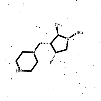 C[C@@H]1[C@@H](CN2CCNCC2)[C@@H](F)CN1C(C)(C)C